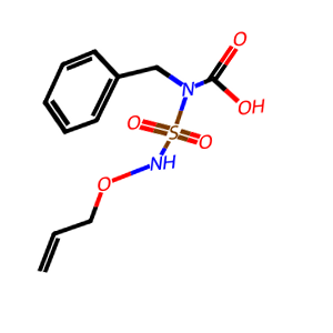 C=CCONS(=O)(=O)N(Cc1ccccc1)C(=O)O